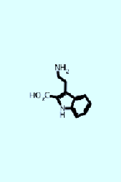 NCCc1c(C(=O)O)[nH]c2ccccc12